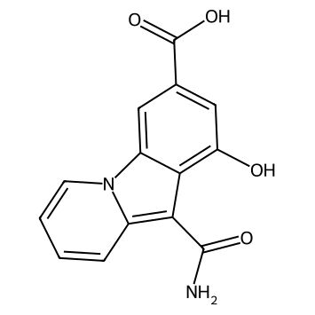 NC(=O)c1c2c(O)cc(C(=O)O)cc2n2ccccc12